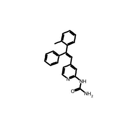 Cc1ccccc1/C(=C/c1ccnc(NC(N)=O)c1)c1ccccc1